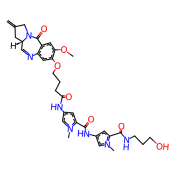 C=C1C[C@H]2C=Nc3cc(OCCCC(=O)Nc4cc(C(=O)Nc5cc(C(=O)NCCCO)n(C)c5)n(C)c4)c(OC)cc3C(=O)N2C1